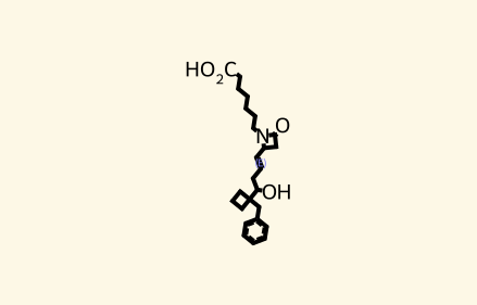 O=C(O)CCCCCCN1C(=O)CC1/C=C/CC(O)C1(Cc2ccccc2)CCC1